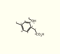 CO.Cc1ccc(CC(=O)O)cc1